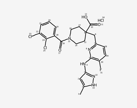 Cc1cc(Nc2nc(CC3(C(=O)O)CCN(C(=O)c4cccc(Cl)c4Cl)CC3)ccc2F)n[nH]1.Cl